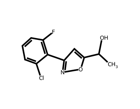 CC(O)c1cc(-c2c(F)cccc2Cl)no1